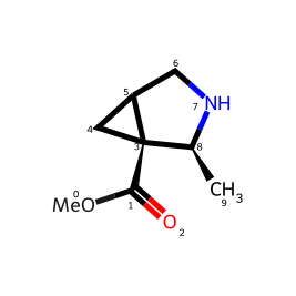 COC(=O)[C@@]12CC1CN[C@H]2C